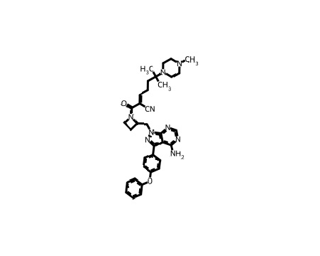 CN1CCN(C(C)(C)CC/C=C(\C#N)C(=O)N2CCC2Cn2nc(-c3ccc(Oc4ccccc4)cc3)c3c(N)ncnc32)CC1